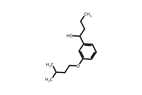 CCCC(O)c1cccc(OCCC(C)C)c1